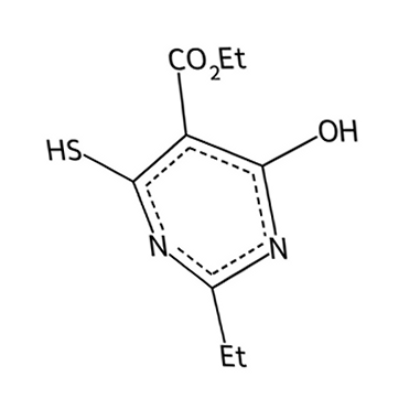 CCOC(=O)c1c(O)nc(CC)nc1S